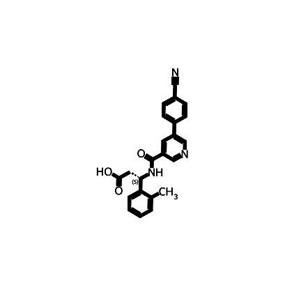 Cc1ccccc1[C@H](CC(=O)O)NC(=O)c1cncc(-c2ccc(C#N)cc2)c1